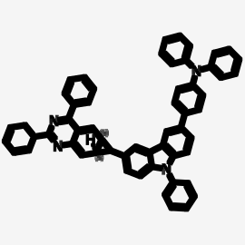 C1=CCC(c2nc(-c3ccccc3)c3c(n2)=C[C@@H]2C(c4ccc5c(c4)c4cc(-c6ccc(N(c7ccccc7)c7ccccc7)cc6)ccc4n5-c4ccccc4)[C@H]2C=3)C=C1